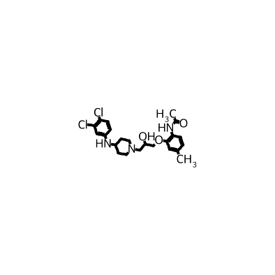 CC(=O)Nc1ccc(C)cc1OCC(O)CN1CCC(Nc2ccc(Cl)c(Cl)c2)CC1